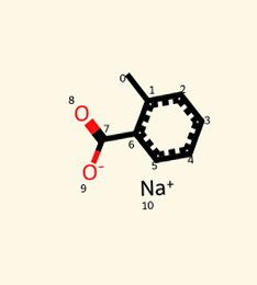 Cc1ccccc1C(=O)[O-].[Na+]